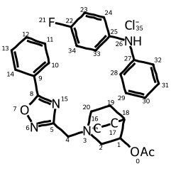 CC(=O)OC1C[N+]2(Cc3noc(-c4ccccc4)n3)CCC1CC2.Fc1ccc(Nc2ccccc2)cc1.[Cl-]